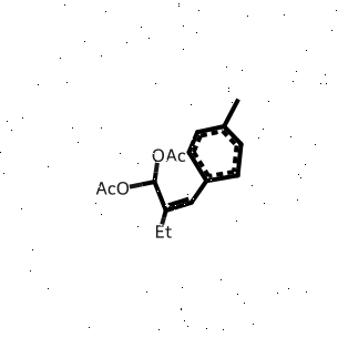 CCC(=Cc1ccc(C)cc1)C(OC(C)=O)OC(C)=O